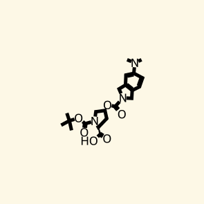 CN(C)c1ccc2c(c1)CN(C(=O)O[C@@H]1C[C@@H](C(=O)O)N(C(=O)OC(C)(C)C)C1)C2